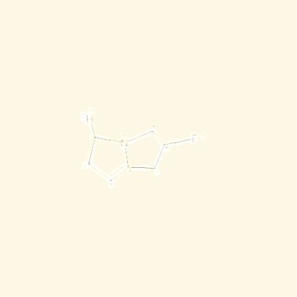 [2H]C1CC=C2CC(F)CN21